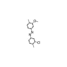 COc1cc(N=Nc2ccc(C)c(Cl)c2)ccc1C